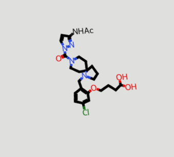 CC(=O)Nc1ccn(C(=O)N2CCC3(CCCN3Cc3ccc(Cl)cc3OCCCC(O)O)CC2)n1